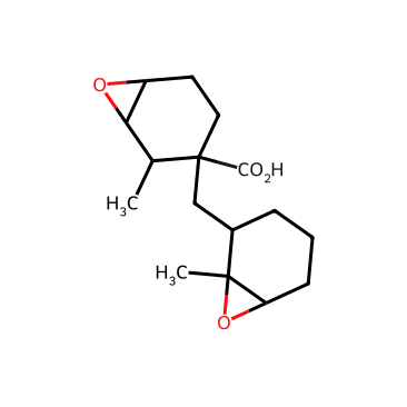 CC1C2OC2CCC1(CC1CCCC2OC12C)C(=O)O